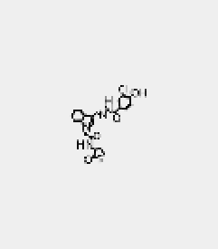 O=C(Cn1cc(/C=N/NC(=O)c2ccc(O)c(Cl)c2)c2ccccc21)NC1CCSC1=O